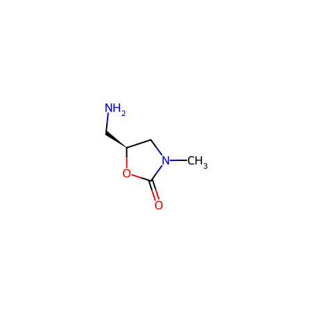 CN1C[C@H](CN)OC1=O